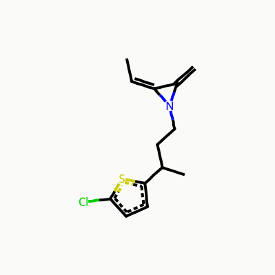 C=C1/C(=C\C)N1CCC(C)c1ccc(Cl)s1